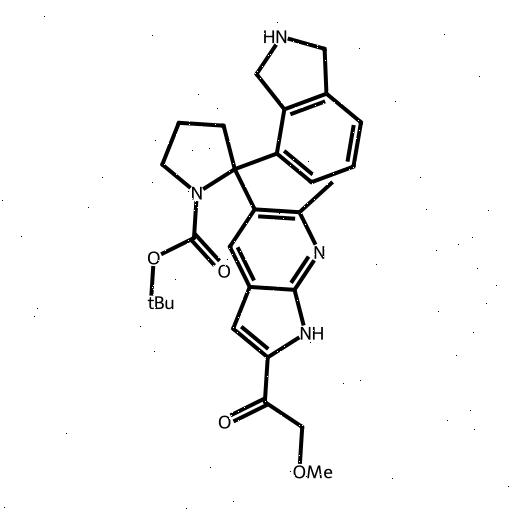 COCC(=O)c1cc2cc(C3(c4cccc5c4CNC5)CCCN3C(=O)OC(C)(C)C)c(C)nc2[nH]1